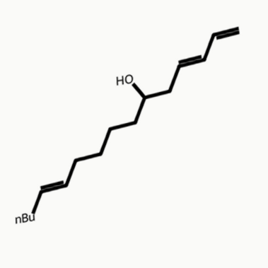 C=CC=CCC(O)CCCCC=CCCCC